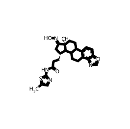 Cc1cnc(NC(=O)CC[C@@H]2CC(=NO)[C@@]3(C)CCC4c5ccc6ocnc6c5CCC4C23)s1